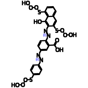 O=C(O)c1cc(/N=N/c2ccc(SOOO)cc2)ccc1/N=N/c1c(SOOO)cc2cccc(SOOO)c2c1O